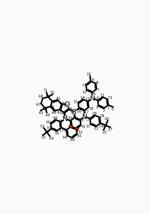 Cc1ccc(N(c2ccc(C)cc2)c2ccc3c(c2)N(c2ccc(C(C)(C)C)cc2)c2cc(C)cc4c2B3c2oc3cc5c(cc3c2N4c2ccc(C(C)(C)C)cc2-c2ccccc2)C(C)(C)CCC5(C)C)cc1